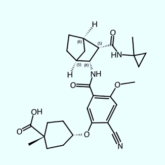 COc1cc(C#N)c(O[C@H]2CC[C@@](C)(C(=O)O)CC2)cc1C(=O)N[C@@H]1[C@H]2CC[C@H](C2)[C@@H]1C(=O)NC1(C)CC1